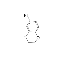 CCc1ccc2c(c1)[CH]CCO2